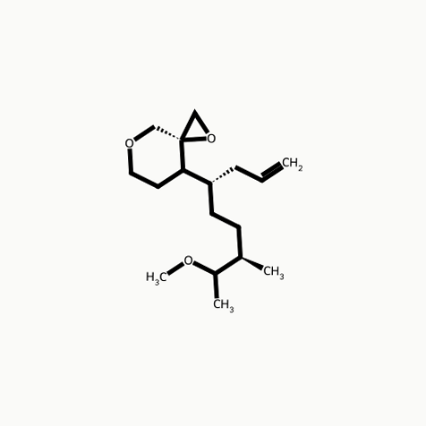 C=CC[C@H](CC[C@@H](C)C(C)OC)C1CCOC[C@@]12CO2